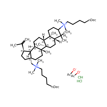 C=C(C)[C@@H]1CC[C@]2(C[N+](C)(C)CCCCCCCCCCCCCC)CC[C@]3(C)[C@H](CC[C@@H]4[C@@]5(C)CCC([N+](C)(C)CCCCCCCCCCCCCC)C(C)(C)[C@@H]5CC[C@]43C)[C@@H]12.CC(=O)[O-].CC(=O)[O-].Cl.Cl